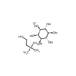 C[N+](C)(C)CCO.O[C@H]1[C@H](O)[C@@H](O)[C@H](O)[C@@H](O)[C@H]1O.[Cl-]